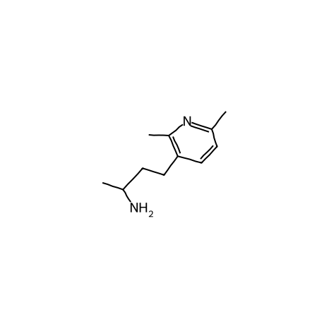 Cc1ccc(CCC(C)N)c(C)n1